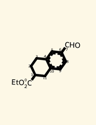 CCOC(=O)C1CCc2cc(C=O)ccc2C1